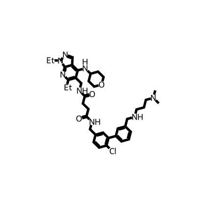 CCc1nc2c(cnn2CC)c(NC2CCOCC2)c1CNC(=O)CCC(=O)NCc1ccc(Cl)c(-c2cccc(CNCCCN(C)C)c2)c1